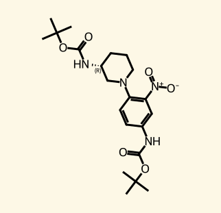 CC(C)(C)OC(=O)Nc1ccc(N2CCC[C@@H](NC(=O)OC(C)(C)C)C2)c([N+](=O)[O-])c1